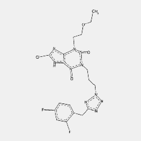 CCOCCn1c(=O)n(CCCn2nnc(Cc3ccc(F)cc3F)n2)c(=O)c2[nH]c(Cl)nc21